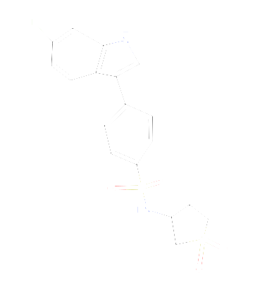 O=S1(=O)CCC(NS(=O)(=O)c2ccc(-c3c[nH]c4cc(F)ccc34)cc2)C1